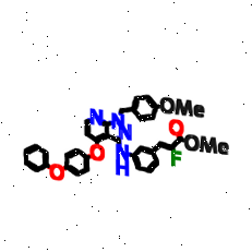 COC(=O)/C(F)=C/c1cccc(Nc2nn(Cc3ccc(OC)cc3)c3nccc(Oc4ccc(Oc5ccccc5)cc4)c23)c1